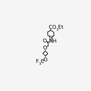 CCOC(=O)C1CCN(NC(=O)CO[C@H]2C[C@@H](OC(F)(F)F)C2)CC1